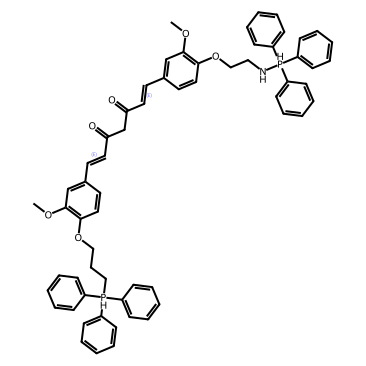 COc1cc(/C=C/C(=O)CC(=O)/C=C/c2ccc(OCCN[PH](c3ccccc3)(c3ccccc3)c3ccccc3)c(OC)c2)ccc1OCCC[PH](c1ccccc1)(c1ccccc1)c1ccccc1